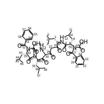 CC(C)C[C@H](NC(=O)[C@H](CC(C)C)N(C(=O)O)C(=O)c1ccccc1)C(=O)CC(=O)C(N)C(=O)[C@H](CC(C)C)NC(=O)[C@H](CC(C)C)N(C(=O)O)C(=O)c1ccccc1